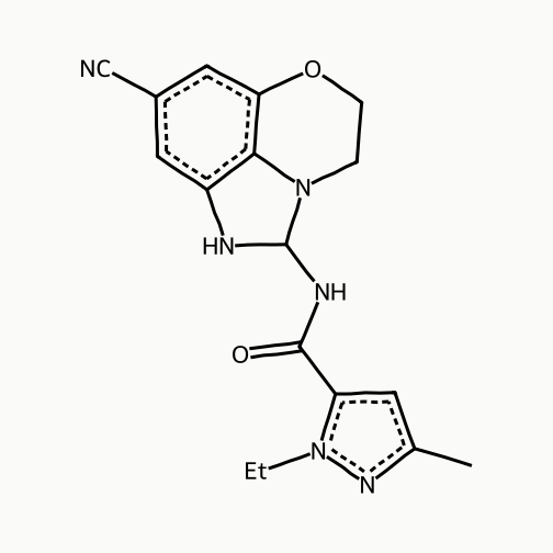 CCn1nc(C)cc1C(=O)NC1Nc2cc(C#N)cc3c2N1CCO3